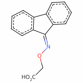 O=C(O)CON=C1c2ccccc2-c2ccccc21